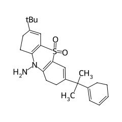 CC(C)(C)C1=CC2=C(CC1)N(N)C1=C(C=C(C(C)(C)C3=CC=CCC3)CC1)S2(=O)=O